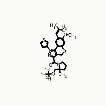 [2H]C([2H])([2H])OCC1(C)CCCN1C(=O)c1nn(-c2ccsc2)c2c1COc1cc(OC)c(C=C(C)C)cc1-2